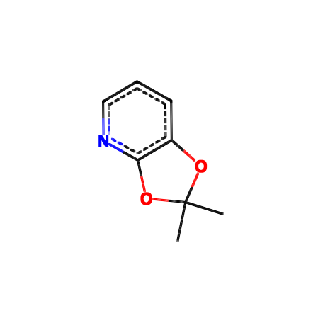 CC1(C)Oc2cccnc2O1